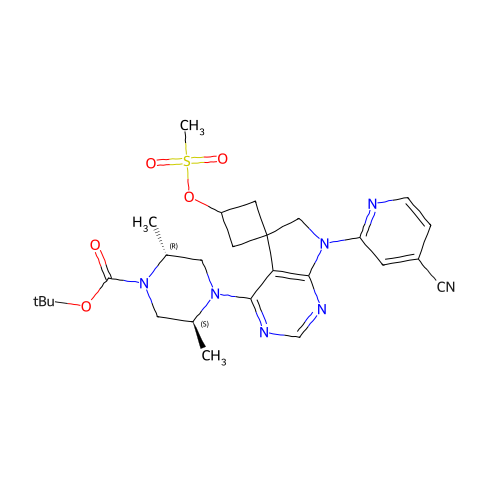 C[C@@H]1CN(c2ncnc3c2C2(CC(OS(C)(=O)=O)C2)CN3c2cc(C#N)ccn2)[C@@H](C)CN1C(=O)OC(C)(C)C